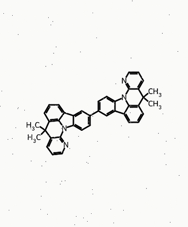 CC1(C)c2cccnc2-n2c3ccc(-c4ccc5c(c4)c4cccc6c4n5-c4ncccc4C6(C)C)cc3c3cccc1c32